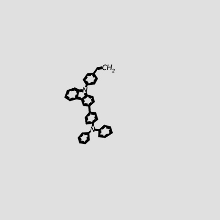 C=Cc1ccc(-n2c3ccccc3c3cc(-c4ccc(N(c5ccccc5)c5ccccc5)cc4)ccc32)cc1